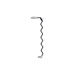 CCCCCCCC/C=C\CCCCCC[CH]CCCO